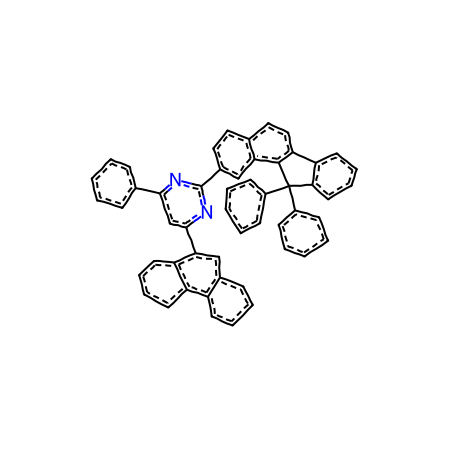 c1ccc(-c2cc(-c3cc4ccccc4c4ccccc34)nc(-c3ccc4ccc5c(c4c3)C(c3ccccc3)(c3ccccc3)c3ccccc3-5)n2)cc1